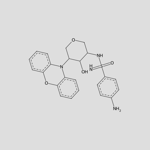 N=S(=O)(NC1COCC(N2c3ccccc3Oc3ccccc32)C1O)c1ccc(N)cc1